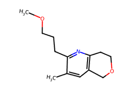 COCCCc1nc2c(cc1C)COCC2